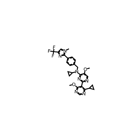 COc1cnc(-c2c(OC)ncnc2C2CC2)nc1N(Cc1ccc(-c2nc(C(F)(F)F)cn2C)cc1)C1CC1